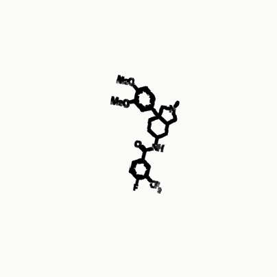 COc1ccc(C23CCC(NC(=O)c4ccc(F)c(C(F)(F)F)c4)CC2CN(C)C3)cc1OC